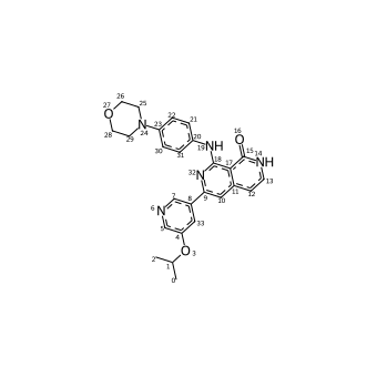 CC(C)Oc1cncc(-c2cc3cc[nH]c(=O)c3c(Nc3ccc(N4CCOCC4)cc3)n2)c1